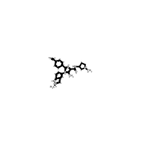 Cc1c(C(=O)NC2CCN(C)C2)nc(-c2ccc(C#N)cc2)n1-c1ccc2nn(C)cc2c1